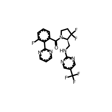 O=C(c1cccc(F)c1-c1ncccn1)N1CCC(F)(F)[C@H]1CNc1ncc(C(F)(F)F)cn1